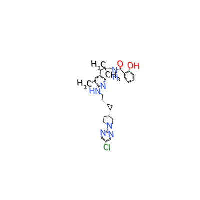 Cc1cc(CC(C)(C)CNC(=O)c2ccccc2O)cnc1NCC[C@@H]1C[C@@H]1C1CCN(c2ncc(Cl)cn2)CC1